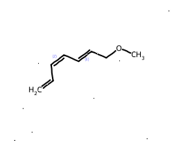 C=C/C=C\C=C\COC